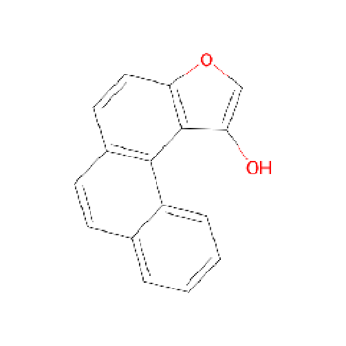 Oc1coc2ccc3ccc4ccccc4c3c12